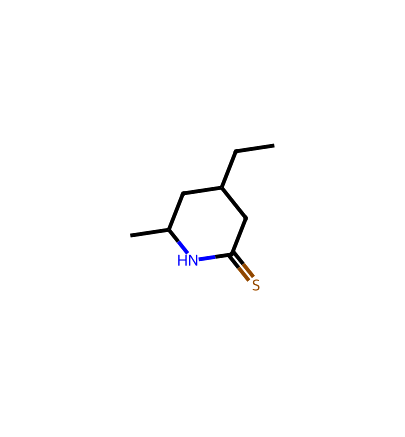 CCC1CC(=S)NC(C)C1